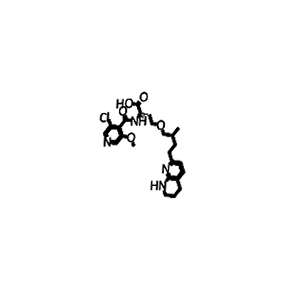 COc1cncc(Cl)c1C(=O)N[C@@H](CCOCC(C)CCc1ccc2c(n1)NCCC2)C(=O)O